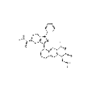 CNCC(C=N)c1cc2c(cc1C(F)F)N(c1nn(-c3ccccc3)c3c1CN(C(=O)NC)CC3)CCC2